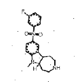 CN1c2ccc(S(=O)(=O)c3cccc(F)c3)cc2C2CCNCC[C@@H]21